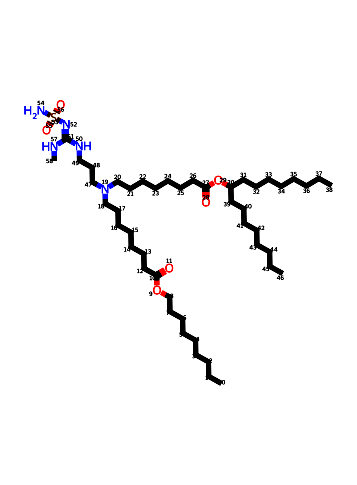 CCCCCCCCCOC(=O)CCCCCCCN(CCCCCCCC(=O)OC(CCCCCCCC)CCCCCCCC)CCCN/C(=N/S(N)(=O)=O)NC